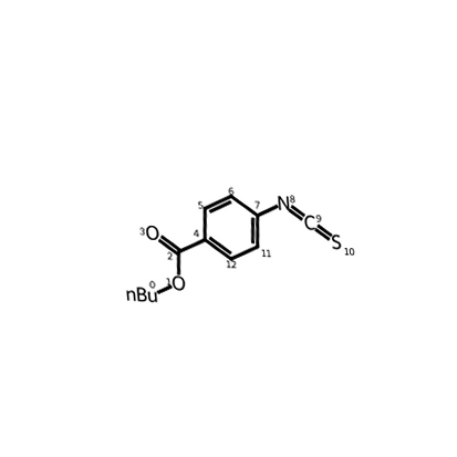 CCCCOC(=O)c1ccc(N=C=S)cc1